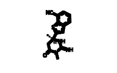 CN1C(=N)N[C@](C)(c2cc3cccc(C#N)c3s2)CC1=O